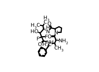 CC(C)[C@H](NC(=O)C1CCCN1C(=O)[C@@H](N)C(C)C)C(O)C(F)(F)C(=O)NCc1ccccc1